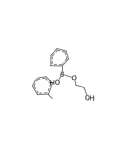 Cc1ccccc1.OCCOB(O)c1ccccc1